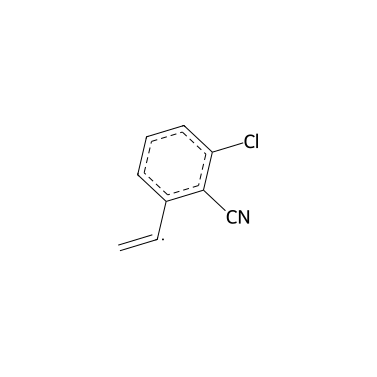 C=[C]c1cccc(Cl)c1C#N